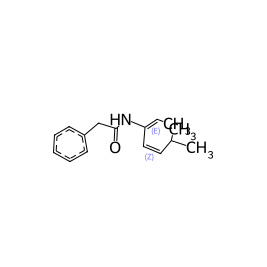 C/C=C(\C=C/C(C)C)NC(=O)Cc1ccccc1